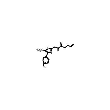 C=CCCC(=O)NCc1nc(C(=O)O)c(-c2ccc(C#N)cc2)s1